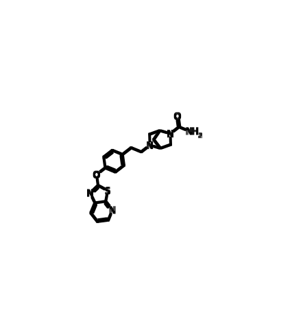 NC(=O)N1CC2CC1CN2CCc1ccc(Oc2nc3cccnc3s2)cc1